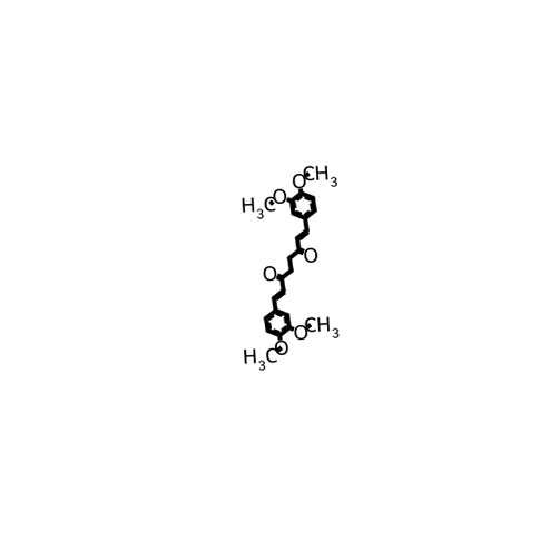 COc1ccc(/C=C/C(=O)CCC(=O)/C=C/c2ccc(OC)c(OC)c2)cc1OC